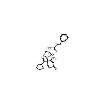 NC1=CC(=O)C=CC1(C(=O)C1CCCO1)N1OC[C@H](NC(=O)OCc2ccccc2)C1=O